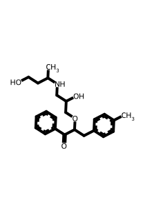 Cc1ccc(CC(OCC(O)CNC(C)CCO)C(=O)c2ccccc2)cc1